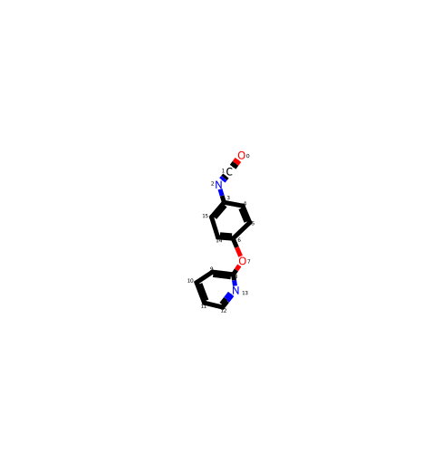 O=C=Nc1ccc(Oc2ccccn2)cc1